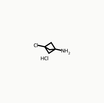 Cl.NC12CC(Cl)(C1)C2